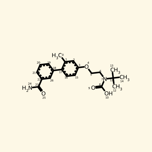 Cc1cc(OCCN(C(=O)O)C(C)(C)C)ccc1-c1cccc(C(N)=O)c1